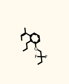 C/C=C(/C)c1cccc(OCC(F)(F)CC)c1CCC